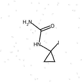 NC(=O)NC1(I)CC1